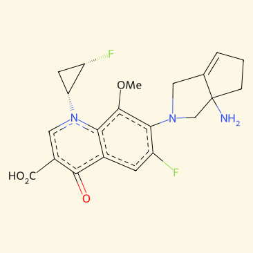 COc1c(N2CC3=CCCC3(N)C2)c(F)cc2c(=O)c(C(=O)O)cn([C@@H]3C[C@@H]3F)c12